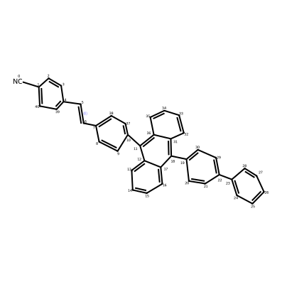 N#Cc1ccc(/C=C/c2ccc(-c3c4ccccc4c(-c4ccc(-c5ccccc5)cc4)c4ccccc34)cc2)cc1